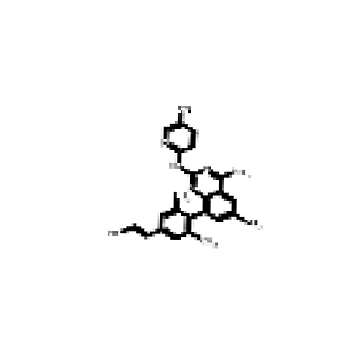 Cc1cc(C=CC#N)cc(C)c1-c1cc(N)cc2c(N)nc(Nc3ccc(C#N)cn3)nc12